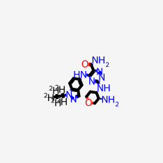 [2H]C([2H])([2H])C([2H])([2H])n1ncc2cc(Nc3nc(N[C@@H]4CCOC[C@@H]4N)nnc3C(N)=O)ccc21